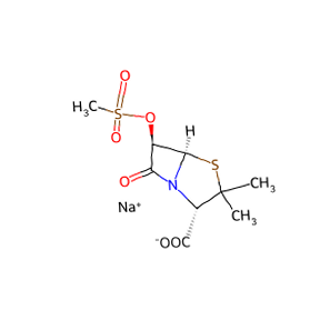 CC1(C)S[C@@H]2[C@H](OS(C)(=O)=O)C(=O)N2[C@H]1C(=O)[O-].[Na+]